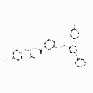 CC(C)(C)c1ccc(-n2nc(-c3ccncc3)cc2CNc2cccc(C(=O)CC(Cc3ccc(O)cc3)C(N)=O)c2)cc1